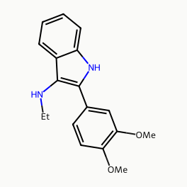 CCNc1c(-c2ccc(OC)c(OC)c2)[nH]c2ccccc12